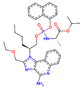 CCCC[C@@H](COP(=O)(N[C@@H](C)C(=O)OC(C)C)Oc1cccc2ccccc12)n1c(COCC)nc2c(N)nc3ccccc3c21